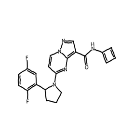 O=C(NC1=CC=C1)c1cnn2ccc(N3CCCC3c3cc(F)ccc3F)nc12